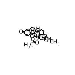 CCCC[C@]1(SC)CC[C@H]2[C@@H]3CCC4=CC(=O)C=C[C@]4(C)C3(F)[C@@H](OC(C)=O)C[C@@]21C